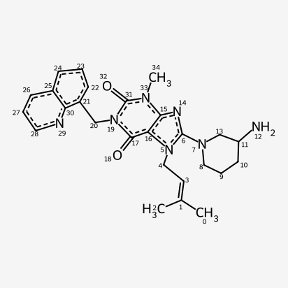 CC(C)=CCn1c(N2CCCC(N)C2)nc2c1c(=O)n(Cc1cccc3cccnc13)c(=O)n2C